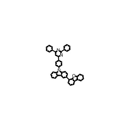 c1ccc(-c2cc(-c3ccc(-n4c5ccccc5c5cc(-c6cccc7c6oc6ccccc67)ccc54)cc3)nc(-c3ccccc3)n2)cc1